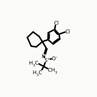 CC(C)(C)[S+]([O-])N=CC1(c2ccc(Cl)c(Cl)c2)CCCCC1